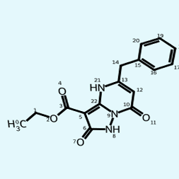 CCOC(=O)c1c(=O)[nH]n2c(=O)cc(Cc3ccccc3)[nH]c12